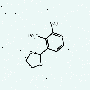 O=C(O)c1nccc(C2OCCO2)c1C(=O)O